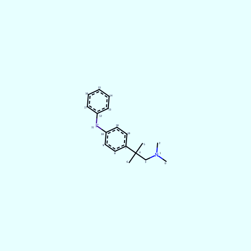 CN(C)CC(C)(C)c1ccc([I+]c2ccccc2)cc1